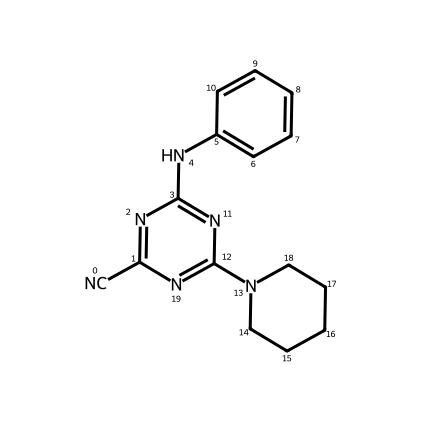 N#Cc1nc(Nc2ccccc2)nc(N2CCCCC2)n1